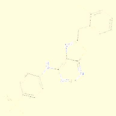 CS(=O)(=O)c1ccc(Nc2ncnc3sc(Cc4ccccc4Cl)nc23)cc1